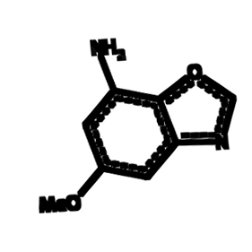 COc1cc(N)c2ocnc2c1